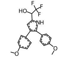 COc1ccc(-c2cc(C(O)C(F)(F)F)[nH]c2-c2ccc(OC)cc2)cc1